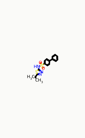 CC(C)c1nnc(NS(=O)(=O)c2ccc(-c3ccccc3)cc2)s1